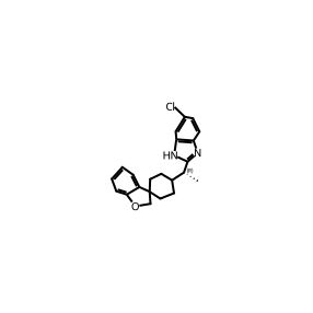 C[C@@H](c1nc2ccc(Cl)cc2[nH]1)C1CCC2(CC1)COc1ccccc12